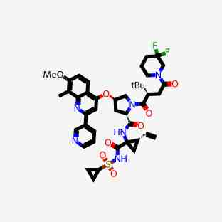 C=C[C@@H]1CC1(NC(=O)[C@@H]1C[C@@H](Oc2cc(-c3cccnc3)nc3c(C)c(OC)ccc23)CN1C(=O)[C@@H](CC(=O)N1CCCC(F)(F)C1)C(C)(C)C)C(=O)NS(=O)(=O)C1CC1